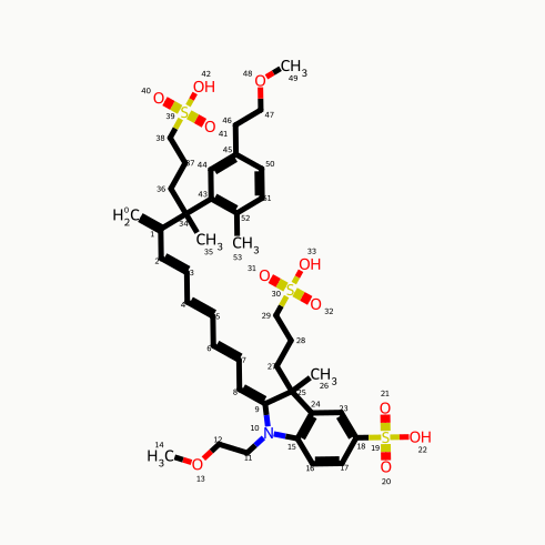 C=C(/C=C/C=C/C=C/C=C1/N(CCOC)c2ccc(S(=O)(=O)O)cc2C1(C)CCCS(=O)(=O)O)C(C)(CCCS(=O)(=O)O)c1cc(CCOC)ccc1C